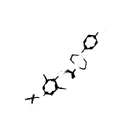 Cc1ccc(N2CCN(C(=O)Nc3c(Cl)cc(OC(F)(F)F)cc3Cl)CC2)cc1